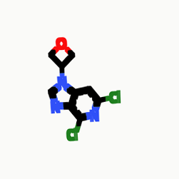 Clc1cc2c(ncn2C2COC2)c(Cl)n1